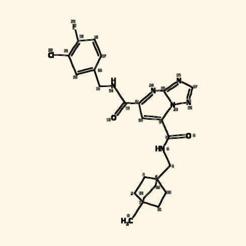 CC12CCC(CNC(=O)c3cc(C(=O)NCc4ccc(F)c(Cl)c4)nc4ncnn34)(CC1)CC2